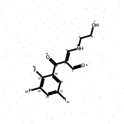 O=CC(=CNCCO)C(=O)c1cc(I)cc(F)c1F